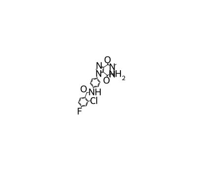 CNC(=O)c1ncn(-c2ccc(NC(=O)c3ccc(F)cc3Cl)cc2)c1C(N)=O